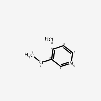 COc1cccnc1.Cl